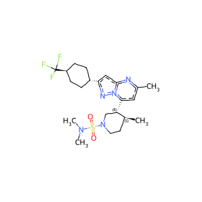 Cc1cc([C@H]2CN(S(=O)(=O)N(C)C)CC[C@@H]2C)n2nc([C@H]3CC[C@H](C(F)(F)F)CC3)cc2n1